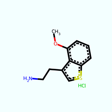 COc1cccc2scc(CCN)c12.Cl